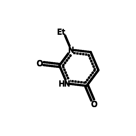 [CH2]Cn1ccc(=O)[nH]c1=O